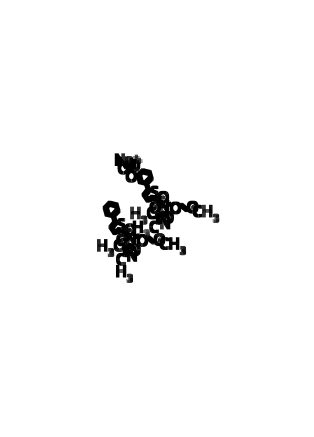 COCCOCN(c1onc(C)c1C)S(=O)(=O)c1ccc(-c2ccccc2)s1.COCCOCN(c1onc(C)c1C)S(=O)(=O)c1ccc(-c2ccccc2)s1.O=C([O-])[O-].[Na+].[Na+]